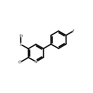 CCSc1cc(-c2ccc(F)cc2)cnc1Cl